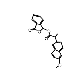 COc1ccc2cc(C(C)C(=O)OC3OC(=O)c4ccccc43)ccc2c1